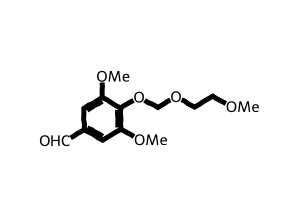 COCCOCOc1c(OC)cc(C=O)cc1OC